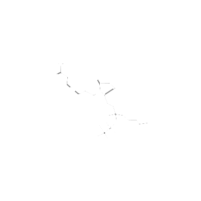 CCCCCC(C)(CCC1=CCC(=O)[C@@H]1CCC=C=CCC(=O)O)O[Si](C)(C)C(C)(C)C